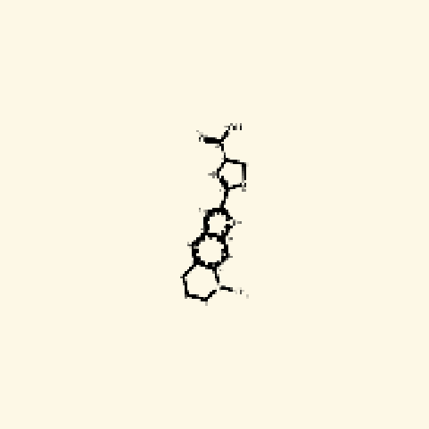 CN1CCCc2cc3nc(C4=N[C@@H](C(=O)O)CS4)sc3cc21